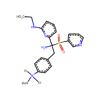 CC[N+](CC)(NC)c1ccc(CC(N)(c2cccc(NCC(=O)O)n2)S(=O)(=O)c2cccnc2)cc1